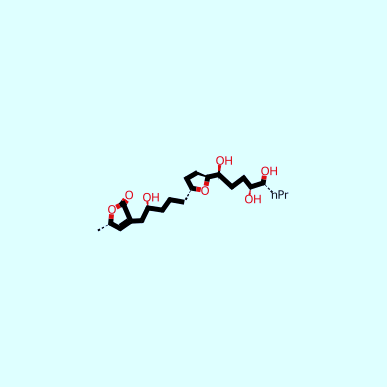 CCC[C@@H](O)[C@H](O)CC[C@H](O)[C@@H]1CC[C@@H](CCC[C@@H](O)CC2=C[C@H](C)OC2=O)O1